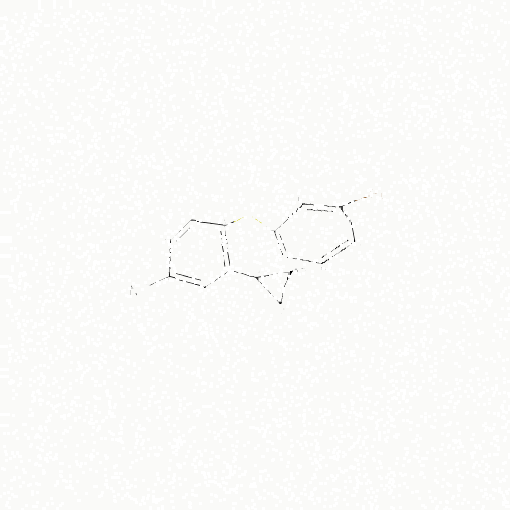 N#Cc1ccc(Sc2cccc(Br)c2)c(C2CC2)c1